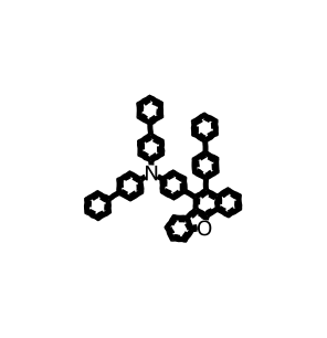 c1ccc(-c2ccc(-c3c(-c4ccc(N(c5ccc(-c6ccccc6)cc5)c5ccc(-c6ccccc6)cc5)cc4)c4c5ccccc5oc4c4ccccc34)cc2)cc1